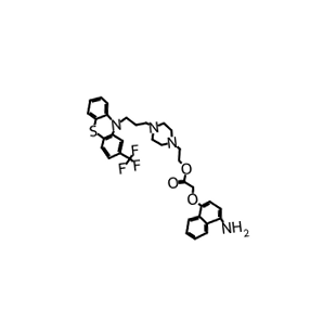 Nc1ccc(OCC(=O)OCCN2CCN(CCCN3c4ccccc4Sc4ccc(C(F)(F)F)cc43)CC2)c2ccccc12